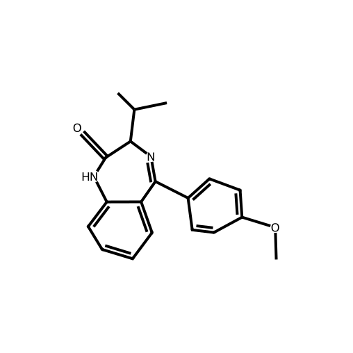 COc1ccc(C2=NC(C(C)C)C(=O)Nc3ccccc32)cc1